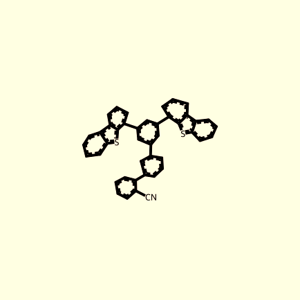 N#Cc1ccccc1-c1cccc(-c2cc(-c3cccc4c3sc3ccccc34)cc(-c3cccc4c3sc3ccccc34)c2)c1